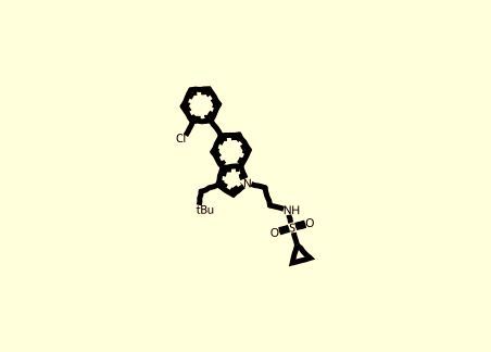 CC(C)(C)Cc1cn(CCNS(=O)(=O)C2CC2)c2ccc(-c3ccccc3Cl)cc12